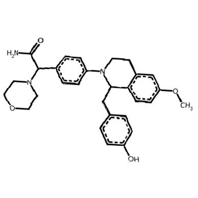 COc1ccc2c(c1)CCN(c1ccc(C(C(N)=O)N3CCOCC3)cc1)C2Cc1ccc(O)cc1